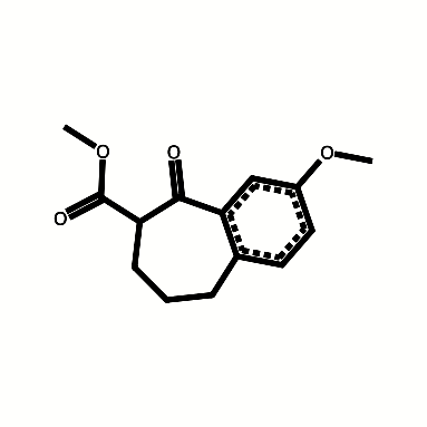 COC(=O)C1CCCc2ccc(OC)cc2C1=O